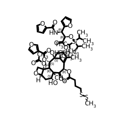 CSSCCCC(=O)O[C@H]1C(=O)[C@@]2(C)[C@H]([C@H](OC(=O)c3ccoc3)[C@]3(O)C[C@H](OC(=O)[C@H](O[Si](C(C)C)(C(C)C)C(C)C)[C@@H](NC(=O)c4ccco4)c4ccco4)C(C)=C1C3(C)C)[C@]1(OC(C)=O)CO[C@@H]1C[C@@H]2O